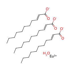 CCCCCCCCC=CC(=O)[O-].CCCCCCCCC=CC(=O)[O-].CCCCCCCCC=CC(=O)[O-].O.[Eu+3]